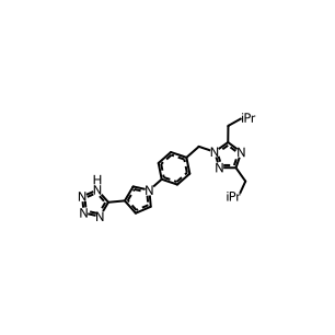 CC(C)Cc1nc(CC(C)C)n(Cc2ccc(-n3ccc(-c4nnn[nH]4)c3)cc2)n1